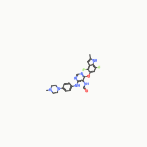 Cc1cc2c(F)c(Oc3ncnc(Nc4ccc(N5CCN(C)CC5)cc4)c3NC=O)cc(F)c2[nH]1